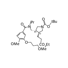 CCOC(=O)CC[C@@H]1CN(C(=O)OC(C)(C)C)C[C@H]1CN(C(=O)c1ccc(OC)c(OCCCOC)c1)C(C)C